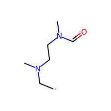 [CH2]CN(C)CCN(C)C=O